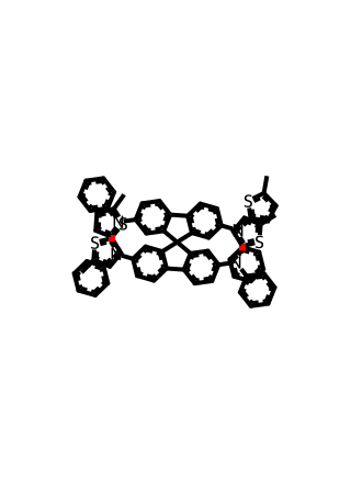 Cc1ccc(N(c2ccccc2)c2ccc3c(c2)C2(c4cc(N(c5ccccc5)c5ccc(C)s5)ccc4-3)c3cc(N(c4ccccc4)c4ccc(C)s4)ccc3-c3ccc(N(c4ccccc4)c4ccc(C)s4)cc32)s1